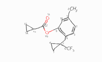 Cc1ccc(C2(C(F)(F)F)CC2)c(OC(=O)C2CC2)c1